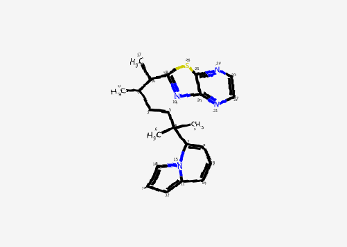 CC(CCC(C)(C)c1cccc2cccn12)C(C)c1nc2nccnc2s1